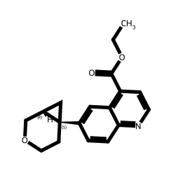 CCOC(=O)c1ccnc2ccc([C@@]34CCOC[C@@H]3C4)cc12